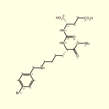 CC(C)(C)OC(=O)[C@H](CCCCNCc1ccc(Br)cc1)NC(=O)N[C@@H](CCC(=O)O)C(=O)O